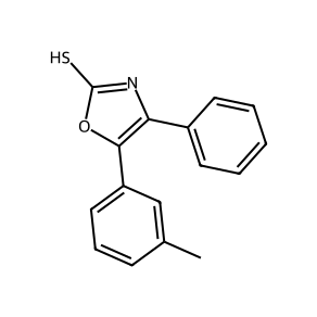 Cc1cccc(-c2oc(S)nc2-c2ccccc2)c1